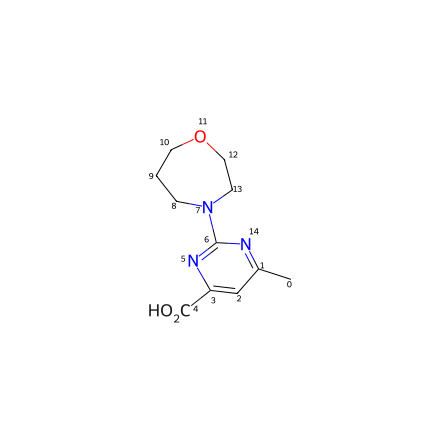 Cc1cc(C(=O)O)nc(N2CCCOCC2)n1